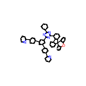 c1ccc(-c2nc(-c3cc(-c4ccc(-c5ccccn5)cc4)cc(-c4ccc(-c5ccccn5)cc4)c3)nc(-c3cccc4c3-c3ccccc3C43c4ccccc4Oc4ccccc43)n2)cc1